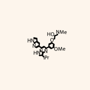 CNCC(O)COc1cc(OC)cc(C2=NC3=C(C(C)C)CNN3C(c3cnc4[nH]ccc4c3)=C2)c1